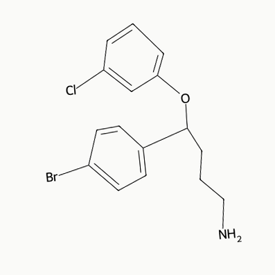 NCCCC(Oc1cccc(Cl)c1)c1ccc(Br)cc1